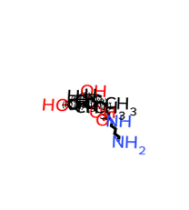 C[C@H](CCC(=O)NCCCCN)[C@H]1CC[C@H]2[C@@H]3[C@H](O)C[C@@H]4C[C@H](O)CC[C@]4(C)[C@H]3C[C@H](O)[C@]12C